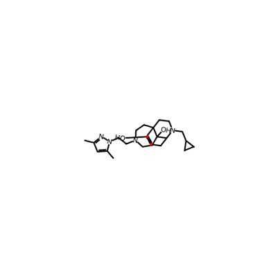 Cc1cc(C)n(CCN2CCC34CCN(CC5CC5)C(Cc5ccc(O)cc53)C4(O)CC2)n1